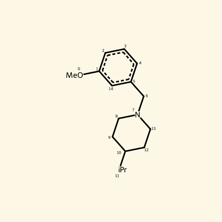 COc1cccc(CN2CCC(C(C)C)CC2)c1